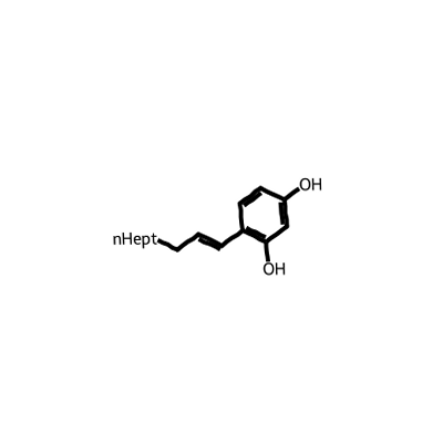 CCCCCCCCC=Cc1ccc(O)cc1O